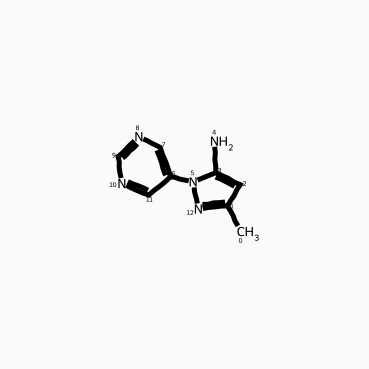 Cc1cc(N)n(-c2cncnc2)n1